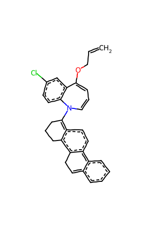 C=CCOC1=CC=CN(C2=c3ccc4c(c3CCC2)CC=c2ccccc2=4)c2ccc(Cl)cc21